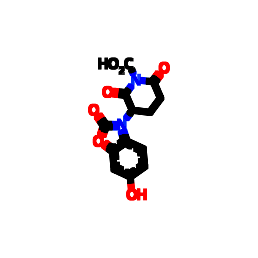 O=C(O)N1C(=O)CCC(n2c(=O)oc3cc(O)ccc32)C1=O